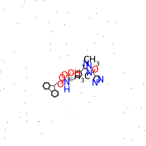 CN(C(=O)c1cncnc1)c1nn(C)cc1-c1ccc(C[C@H](NC(=O)OCC2c3ccccc3-c3ccccc32)C(=O)O)cc1